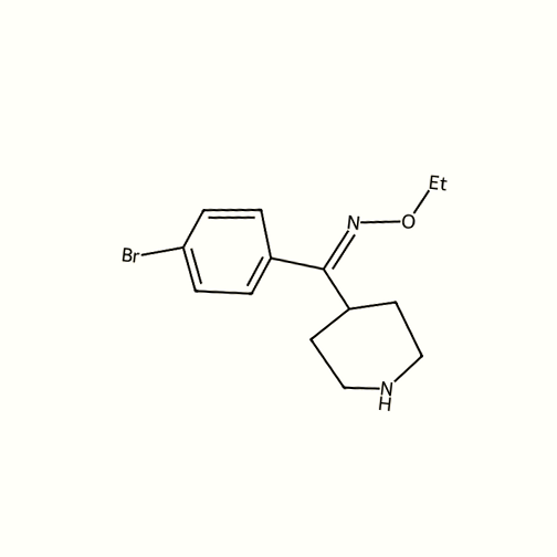 CCON=C(c1ccc(Br)cc1)C1CCNCC1